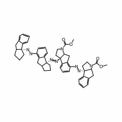 COC(=O)N1CC[C@]2(/N=N/c3cccc4c3CC3N(C(=O)OC)CC[C@@]43/N=N/[C@]34CCCC3Cc3c(/N=N/[C@]56CCCC5Cc5ccccc56)cccc34)c3ccccc3CC12